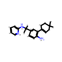 CC1(C)CC=C(c2cc(C(C)(C)Nc3ccccn3)ccc2N)CC1